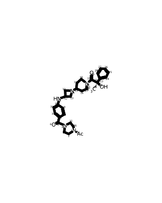 CC(=O)N1CCN(C(=O)c2ccc(NC3CN(C4CCN(C(=O)[C@](O)(c5ccccc5)C(F)(F)F)CC4)C3)cc2)CC1